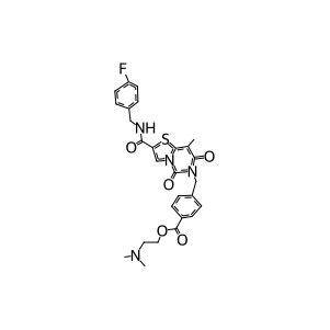 Cc1c(=O)n(Cc2ccc(C(=O)OCCN(C)C)cc2)c(=O)n2cc(C(=O)NCc3ccc(F)cc3)sc12